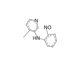 Cc1ccncc1Nc1ccccc1N=O